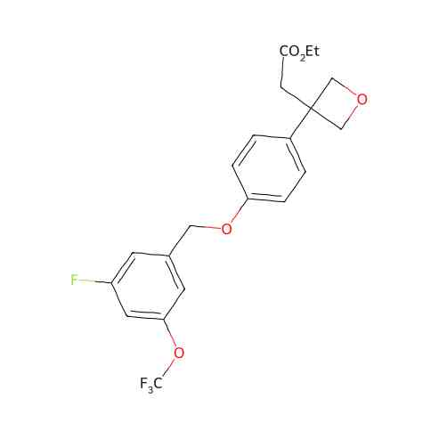 CCOC(=O)CC1(c2ccc(OCc3cc(F)cc(OC(F)(F)F)c3)cc2)COC1